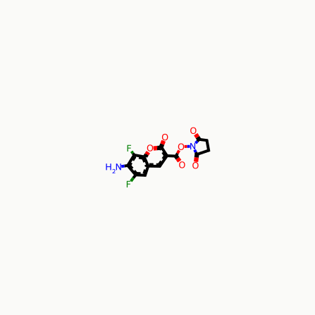 Nc1c(F)cc2cc(C(=O)ON3C(=O)CCC3=O)c(=O)oc2c1F